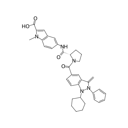 C=C1c2cc(C(=O)N3CCC[C@H]3C(=O)Nc3ccc4c(c3)cc(C(=O)O)n4C)ccc2N(C2CCCCC2)N1c1ccccc1